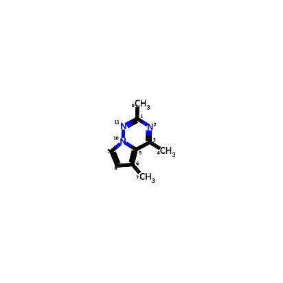 Cc1nc(C)c2c(C)ccn2n1